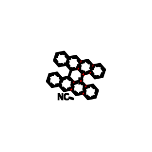 CC#N.c1ccc(P(c2ccccc2)c2ccc3ccccc3c2-c2c(P(c3ccccc3)c3ccccc3)ccc3ccccc23)cc1